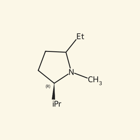 CCC1CC[C@H](C(C)C)N1C